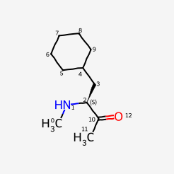 CN[C@@H](CC1CCCCC1)C(C)=O